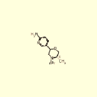 CCCN1CC(c2ccc(N)nc2)OC[C@@H]1C